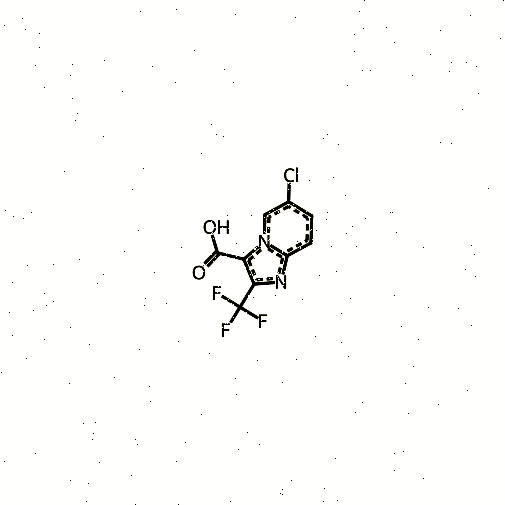 O=C(O)c1c(C(F)(F)F)nc2ccc(Cl)cn12